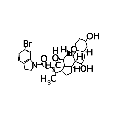 C[C@H](CCC(=O)N1CCc2ccc(Br)cc21)[C@H]1CC[C@H]2[C@@H]3[C@H](O)C[C@@H]4C[C@H](O)CC[C@]4(C)[C@H]3C[C@H](O)[C@]12C